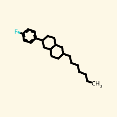 CCCCCCCC1CCC2CC(c3ccc(F)cc3)CCC2C1